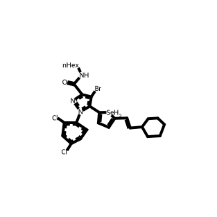 CCCCCCNC(=O)c1nn(-c2ccc(Cl)cc2Cl)c(C2=CC=C(C=CC3CCCCC3)[SeH2]2)c1Br